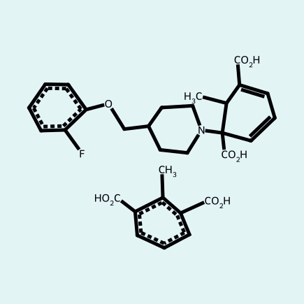 CC1C(C(=O)O)=CC=CC1(C(=O)O)N1CCC(COc2ccccc2F)CC1.Cc1c(C(=O)O)cccc1C(=O)O